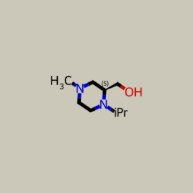 CC(C)N1CCN(C)C[C@H]1CO